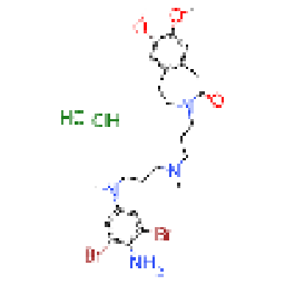 COc1cc2c(cc1OC)CC(=O)N(CCCN(C)CCCN(C)c1cc(Br)c(N)c(Br)c1)CC2.Cl.Cl